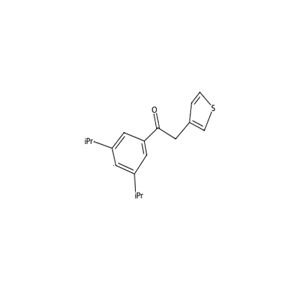 CC(C)c1[c]c(C(C)C)cc(C(=O)Cc2ccsc2)c1